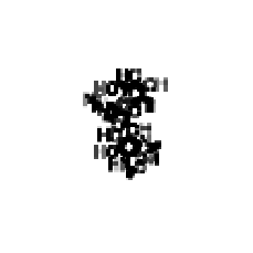 CCC1C(O[C@@H]2C(OC3C(O)C(O)C(NC(C)=O)C(O)C3NC(C)=O)OC(C)C2(O)CN=[N+]=[N-])OC(CO)C(O)C1O